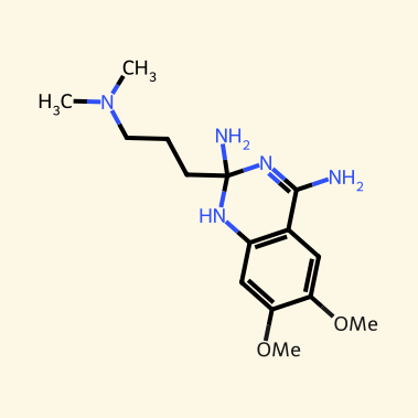 COc1cc2c(cc1OC)C(N)=NC(N)(CCCN(C)C)N2